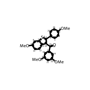 COc1ccc(-c2sc3cc(OC)ccc3c2C(=O)c2cc(OC)cc(OC)c2)cc1